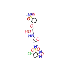 CNS(=O)(=O)c1cccc(OCC(O)CNC2COC3(CCN(S(=O)(=O)c4c(Cl)ccc5nonc45)CC3)C2)c1